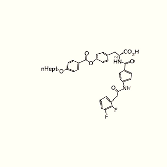 CCCCCCCOc1ccc(C(=O)Oc2ccc(C[C@H](NC(=O)c3ccc(NC(=O)Cc4cccc(F)c4F)cc3)C(=O)O)cc2)cc1